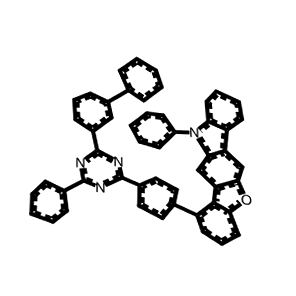 c1ccc(-c2cccc(-c3nc(-c4ccccc4)nc(-c4ccc(-c5cccc6oc7cc8c9ccccc9n(-c9ccccc9)c8cc7c56)cc4)n3)c2)cc1